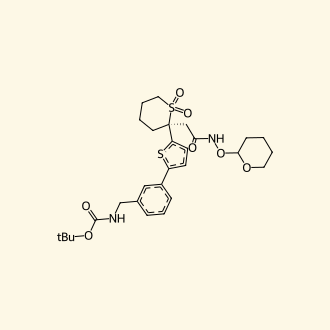 CC(C)(C)OC(=O)NCc1cccc(-c2ccc([C@@]3(CC(=O)NOC4CCCCO4)CCCCS3(=O)=O)s2)c1